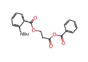 CCCCc1ccccc1C(=O)OCCC(=O)OC(=O)c1ccccc1